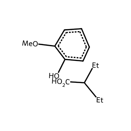 CCC(CC)C(=O)O.COc1ccccc1O